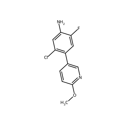 COc1ccc(-c2cc(F)c(N)cc2Cl)cn1